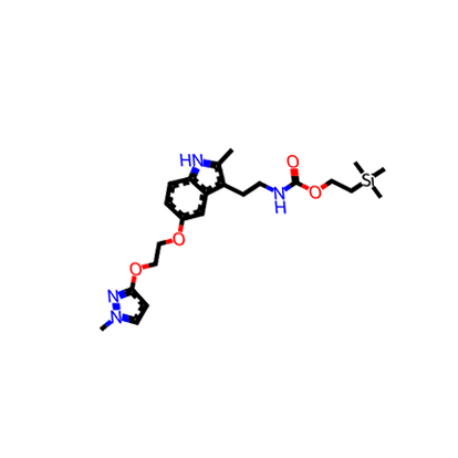 Cc1[nH]c2ccc(OCCOc3ccn(C)n3)cc2c1CCNC(=O)OCC[Si](C)(C)C